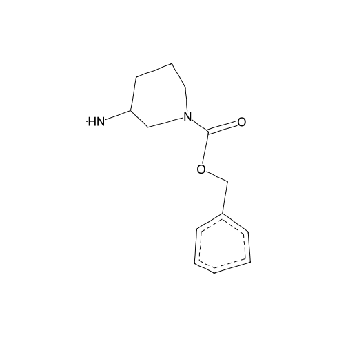 [NH]C1CCCN(C(=O)OCc2ccccc2)C1